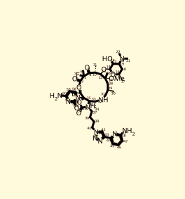 CC[C@H]1OC(=O)C(C)(F)C(=O)[C@H](C)[C@@H](O[C@@H]2O[C@H](C)CC(N(C)C)C2O)[C@](C)(OC)C[C@@H](C)CN[C@H](C)[C@H]2N(CCCCn3cc(-c4cccc(N)n4)nn3)C(=O)O[C@]12n1ccc(N)nc1=O